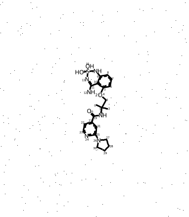 CC(C)(COc1cccc2c1C(N)=NS(O)(O)N2)NC(=O)c1ccnc(N2CCCC2)c1